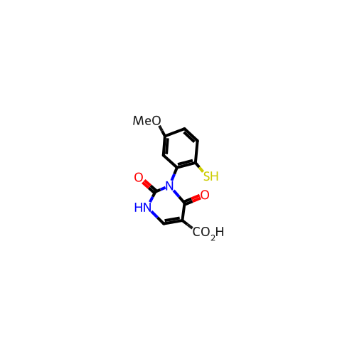 COc1ccc(S)c(-n2c(=O)[nH]cc(C(=O)O)c2=O)c1